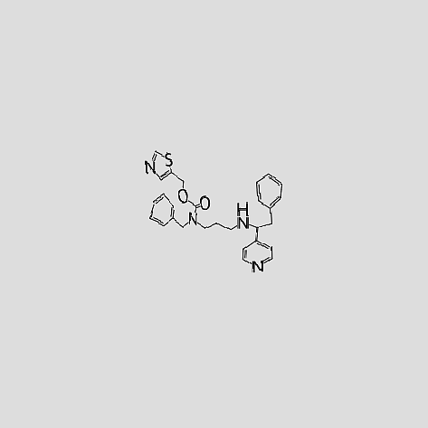 O=C(OCc1cncs1)N(CCCNC(Cc1ccccc1)c1ccncc1)Cc1ccccc1